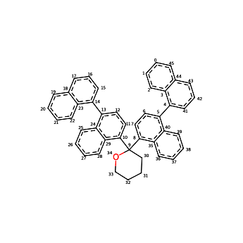 c1ccc2c(-c3ccc(C4(c5ccc(-c6cccc7ccccc67)c6ccccc56)CCCCO4)c4ccccc34)cccc2c1